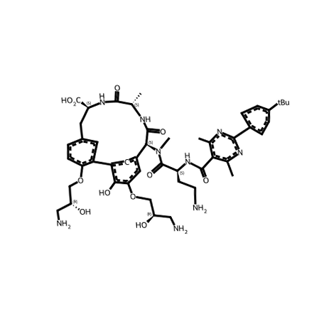 Cc1nc(-c2ccc(C(C)(C)C)cc2)nc(C)c1C(=O)N[C@@H](CCN)C(=O)N(C)[C@@H]1C(=O)N[C@@H](C)C(=O)N[C@H](C(=O)O)Cc2ccc(OC[C@H](O)CN)c(c2)-c2cc1cc(OC[C@H](O)CN)c2O